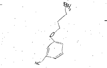 BCCCOc1cccc(C#N)c1